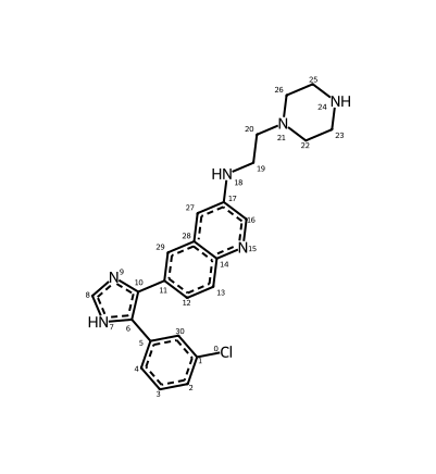 Clc1cccc(-c2[nH]cnc2-c2ccc3ncc(NCCN4CCNCC4)cc3c2)c1